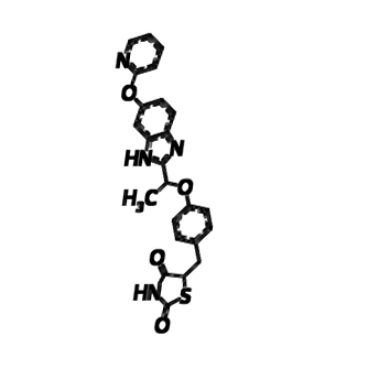 CC(Oc1ccc(CC2SC(=O)NC2=O)cc1)c1nc2ccc(Oc3ccccn3)cc2[nH]1